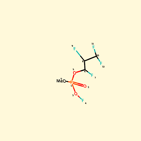 COP(=O)(OF)OC(F)C(F)C(F)F